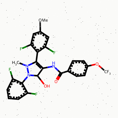 COc1cc(F)c(C2=C(NC(=O)c3ccc(OC(F)(F)F)cc3)C(O)N(c3c(F)cccc3F)N2C)c(F)c1